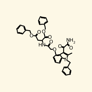 Cc1c(C(=O)C(N)=O)c2c(OCC(=O)NC(CC(=O)OCc3ccccc3)C(=O)OCc3ccccc3)cccc2n1Cc1ccccc1